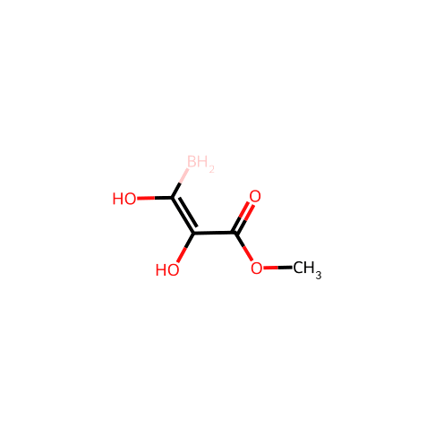 B/C(O)=C(/O)C(=O)OC